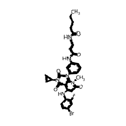 CCCCC(=O)NCCC(=O)Nc1cccc(-n2c(=O)n(C3CC3)c(=O)c3c(Nc4ccc(Br)cc4F)cc(=O)n(C)c32)c1